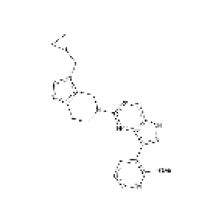 COc1ncccc1-c1cnn2ccc(N3CCc4ncn(CC5CC5)c4C3)nc12